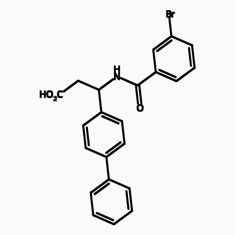 O=C(O)CC(NC(=O)c1cccc(Br)c1)c1ccc(-c2ccccc2)cc1